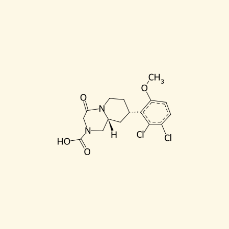 COc1ccc(Cl)c(Cl)c1[C@H]1CCN2C(=O)CN(C(=O)O)C[C@H]2C1